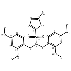 COc1ccc(CN(Cc2ccc(OC)cc2OC)S(=O)(=O)c2ccc(Br)s2)c(OC)c1